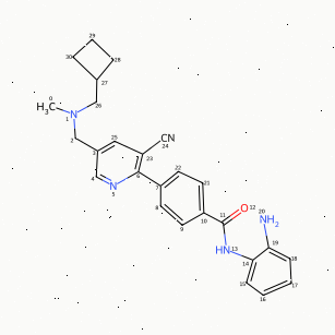 CN(Cc1cnc(-c2ccc(C(=O)Nc3ccccc3N)cc2)c(C#N)c1)CC1CCC1